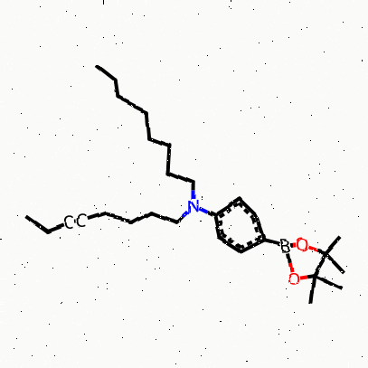 CCCCCCCCN(CCCCCCCC)c1ccc(B2OC(C)(C)C(C)(C)O2)cc1